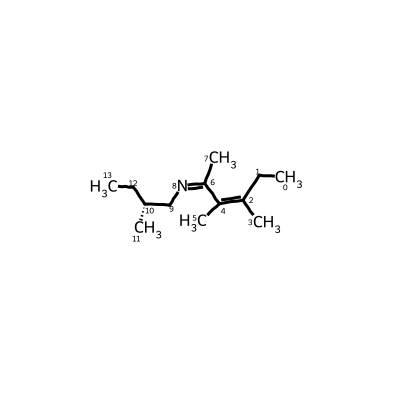 CC/C(C)=C(C)\C(C)=N/C[C@H](C)CC